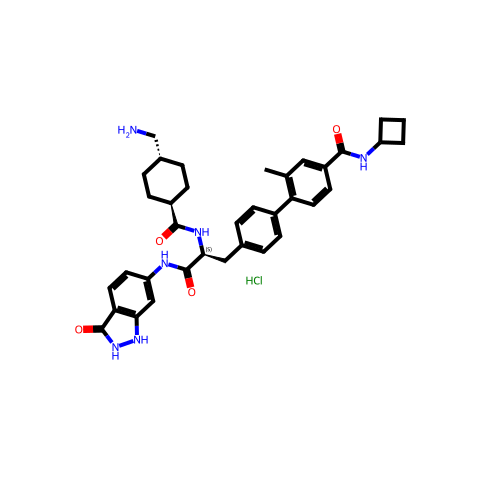 Cc1cc(C(=O)NC2CCC2)ccc1-c1ccc(C[C@H](NC(=O)[C@H]2CC[C@H](CN)CC2)C(=O)Nc2ccc3c(=O)[nH][nH]c3c2)cc1.Cl